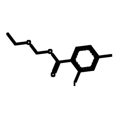 CCOCOC(=O)c1ccc(C)cc1I